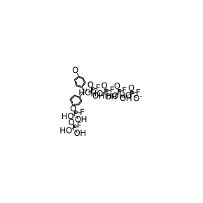 COc1ccc([I+]c2ccccc2)cc1.O=P(O)(O)F.O=P(O)(O)F.O=P(O)(O)F.O=P(O)(O)F.O=P(O)(O)F.O=P([O-])(O)F